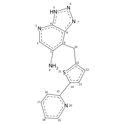 Nc1cnc2[nH]nnc2c1Cc1ccc(-c2ccccn2)s1